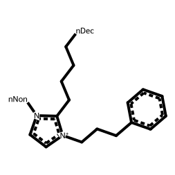 CCCCCCCCCCCCCCc1n(CCCCCCCCC)cc[n+]1CCCc1ccccc1